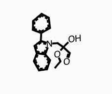 CCOC(O)(C=O)Cn1c(-c2ccccc2)cc2ccccc21